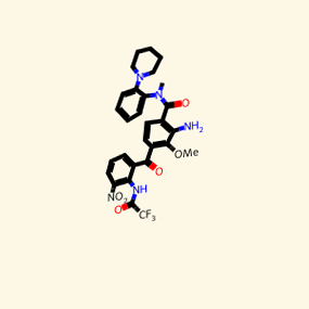 COc1c(C(=O)c2cccc([N+](=O)[O-])c2NC(=O)C(F)(F)F)ccc(C(=O)N(C)c2ccccc2N2CCCCC2)c1N